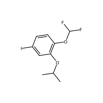 CC(C)Oc1cc(I)ccc1OC(F)F